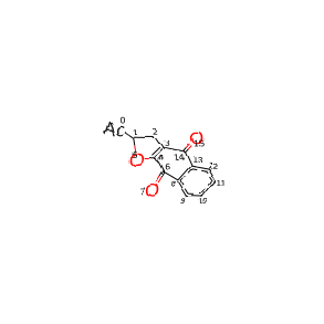 CC(=O)C1CC2=C(O1)C(=O)c1ccccc1C2=O